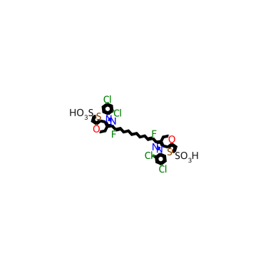 O=S(=O)(O)c1cc2c(s1)-c1c(c(/C(F)=C/CCCCCC/C=C(\F)c3nn(-c4ccc(Cl)cc4Cl)c4c3CCOc3cc(S(=O)(=O)O)sc3-4)nn1-c1ccc(Cl)cc1Cl)CCO2